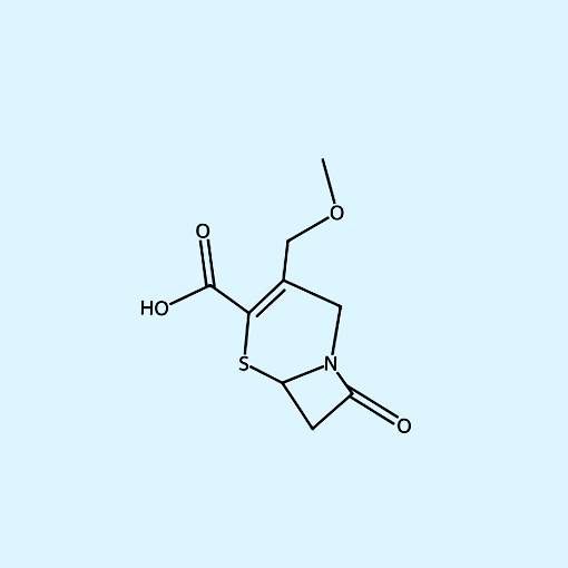 COCC1=C(C(=O)O)SC2CC(=O)N2C1